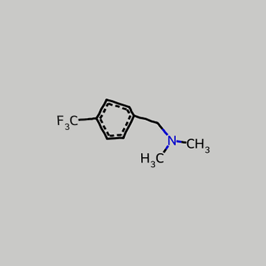 CN(C)Cc1ccc(C(F)(F)F)cc1